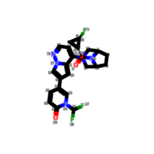 O=C([C@@H]1C[C@H]1F)N1C2CCC1CN(c1ccnn3cc(-c4ccc(=O)n(C(F)F)c4)cc13)C2